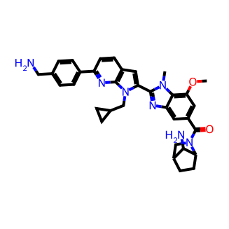 COc1cc(C(=O)N2CC3CCC2C3N)cc2nc(-c3cc4ccc(-c5ccc(CN)cc5)nc4n3CC3CC3)n(C)c12